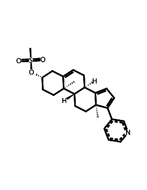 C[C@]12CC[C@H]3[C@@H](CC=C4C[C@@H](OS(C)(=O)=O)CC[C@@]43C)C1=CC=C2c1cccnc1